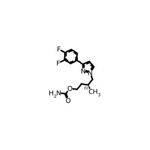 C[C@@H](CCOC(N)=O)Cn1ccc(-c2ccc(F)c(F)c2)n1